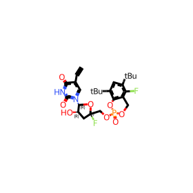 C#Cc1cn([C@@H]2O[C@](F)(COP3(=O)OCc4c(F)c(C(C)(C)C)cc(C(C)(C)C)c4O3)C[C@H]2O)c(=O)[nH]c1=O